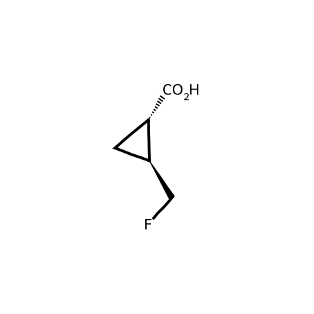 O=C(O)[C@H]1C[C@@H]1CF